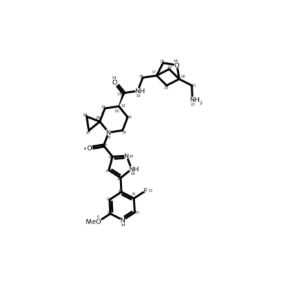 COc1cc(-c2cc(C(=O)N3CC[C@H](C(=O)NCC45COC(CN)(C4)C5)CC34CC4)n[nH]2)c(F)cn1